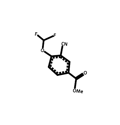 COC(=O)c1ccc(OC(F)F)c(C#N)c1